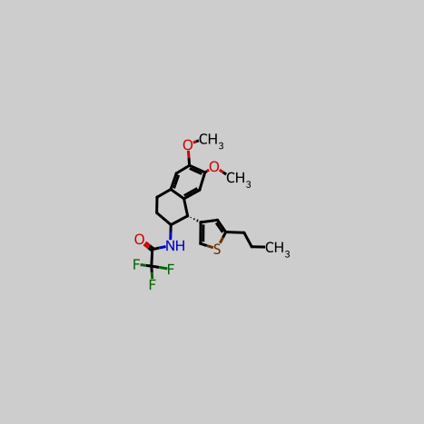 CCCc1cc([C@H]2c3cc(OC)c(OC)cc3CCC2NC(=O)C(F)(F)F)cs1